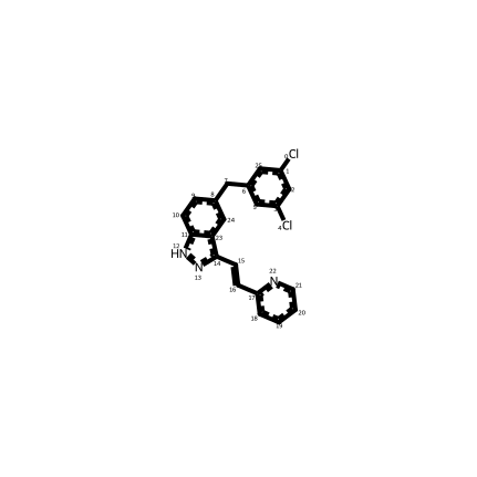 Clc1cc(Cl)cc(Cc2ccc3[nH]nc(/C=C/c4ccccn4)c3c2)c1